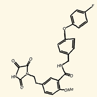 COc1ccc(CCN2C(=O)NC(=O)C2=O)cc1C(=O)NCc1ccc(Oc2ccc(F)cc2)cc1